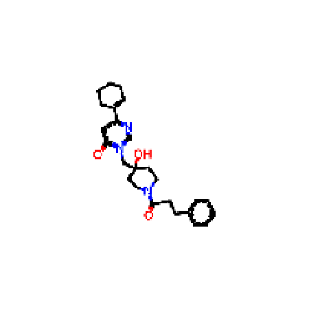 O=C(CCc1ccccc1)N1CCC(O)(Cn2cnc(C3=CCCCC3)cc2=O)CC1